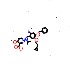 COC(=O)c1cn(N(Cc2cc(OCCC3CC3)c(OCc3ccccc3)cc2I)C(C)C)ccc1=O